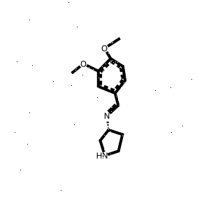 COc1ccc(C=N[C@@H]2CCNC2)cc1OC